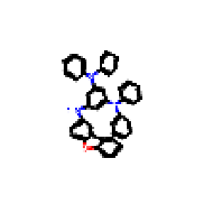 c1ccc(N(c2ccccc2)c2cc(Nc3ccc4oc5ccccc5c4c3)cc(N(c3ccccc3)c3ccccc3)c2)cc1